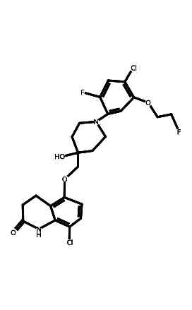 O=C1CCc2c(OCC3(O)CCN(c4cc(OCCF)c(Cl)cc4F)CC3)ccc(Cl)c2N1